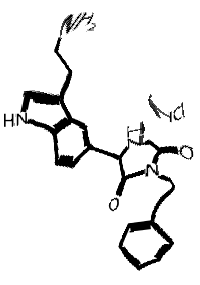 Cl.NCCc1c[nH]c2ccc(C3NC(=O)N(Cc4ccccc4)C3=O)cc12